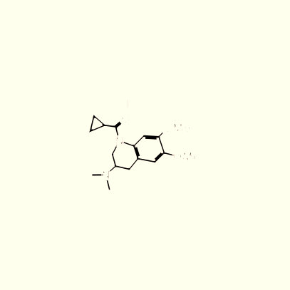 COc1cc2c(cc1OC)N(C(=O)C1CC1)CC(N(C)C)C2.Cl